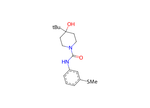 CSc1cccc(NC(=O)N2CCC(O)(C(C)(C)C)CC2)c1